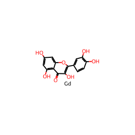 O=c1c(O)c(-c2ccc(O)c(O)c2)oc2cc(O)cc(O)c12.[Gd]